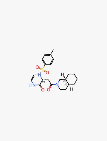 Cc1ccc(S(=O)(=O)N2C=CNC(=O)[C@H]2CC(=O)N2CC[C@@H]3CCCC[C@H]3C2)cc1